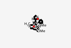 COC[C@@H](Cc1cnc(C)cn1)S(=O)(=O)Nc1nnc(-c2cccnc2)n1-c1c(OC)cccc1OC